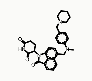 CN(Cc1ccc2c3c(cccc13)C(=O)N2C1CCC(=O)NC1=O)c1ccc(CN2CCCCC2)cc1